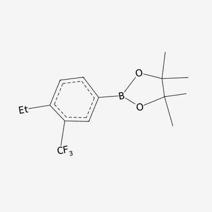 CCc1ccc(B2OC(C)(C)C(C)(C)O2)cc1C(F)(F)F